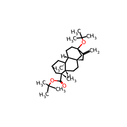 C=C1C[C@@]23CC[C@H]4[C@@](C)(CCC[C@@]4(C)C(=O)OC(C)(C)C)[C@@H]2CCC1(OC(C)(C)C)C3